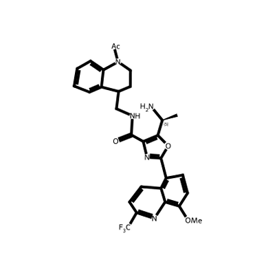 COc1ccc(-c2nc(C(=O)NCC3CCN(C(C)=O)c4ccccc43)c([C@H](C)N)o2)c2ccc(C(F)(F)F)nc12